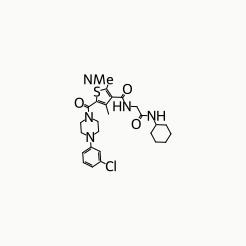 CNc1sc(C(=O)N2CCN(c3cccc(Cl)c3)CC2)c(C)c1C(=O)NCC(=O)NC1CCCCC1